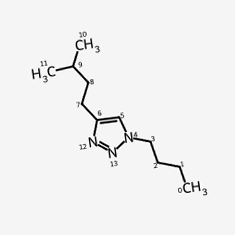 CCCCn1cc(CCC(C)C)nn1